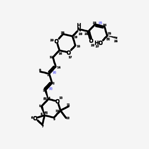 CC(/C=C/[C@@H]1C[C@]2(CO2)CC(C)(C)O1)=C\CC1OCC(NC(=O)/C=C\[C@H](C)O)CO1